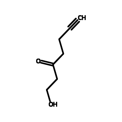 C#CCCC(=O)CCO